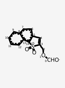 O=[C]OCC1=Cc2ccc3ccccc3c2S1(=O)=O